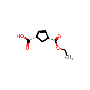 CCOC(=O)[C@H]1C=C[C@@H](C(=O)O)C1